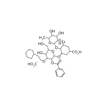 CCC1CC(C(=O)O)C[C@@H](OC2OC(CO)C(O)C(O[C@@H](CC3CCCCC3)C(=O)O)C2OC(=O)c2ccccc2)C1OC1OC(C)C(O)C(O)C1O